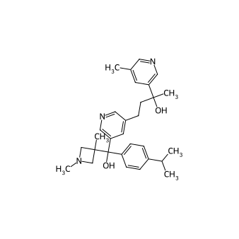 Cc1cncc(C(C)(O)CCc2cncc(C(O)(c3ccc(C(C)C)cc3)C3(C)CN(C)C3)c2)c1